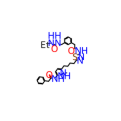 CCNC(=O)NCc1cccc(CC(=O)Nc2nnc(CCCCC3=CC=C(NC(=O)Cc4ccccc4)NN3C)s2)c1